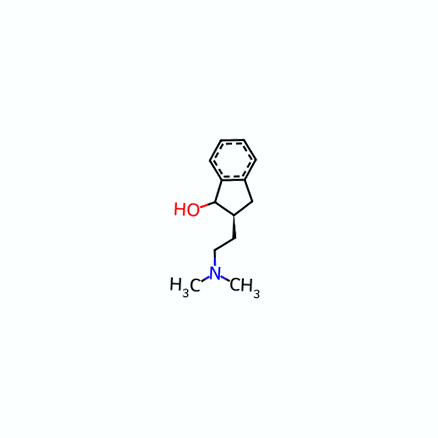 CN(C)CC[C@@H]1Cc2ccccc2C1O